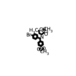 COC(=O)C(CC(C)C)/N=C(\c1ccc(Br)cc1)c1ccc(S(C)(=O)=O)cc1